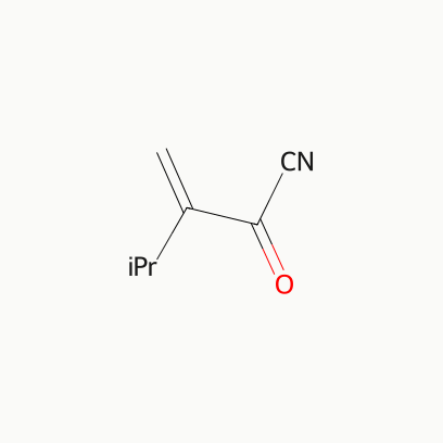 C=C(C(=O)C#N)C(C)C